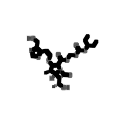 CCC(CC)OC(=O)OCOC(=O)C1=C(S/C=C\c2scnc2CO)[C@H](C)[C@@H]2[C@@H]([C@@H](C)O)C(=O)N12